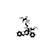 CCCNC(=O)C1(N(C(=O)CC)c2ccccc2)CCN(Cc2ccccc2)CC1.O=C(O)C(=O)O